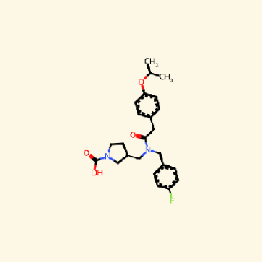 CC(C)Oc1ccc(CC(=O)N(Cc2ccc(F)cc2)C[C@@H]2CCN(C(=O)O)C2)cc1